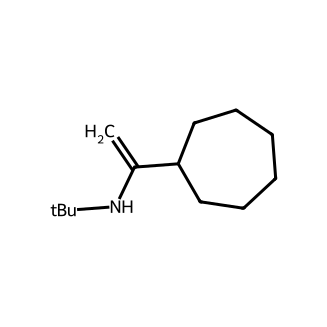 C=C(NC(C)(C)C)C1CCCCCC1